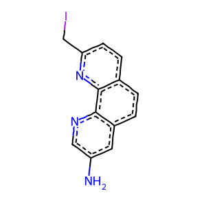 Nc1cnc2c(ccc3ccc(CI)nc32)c1